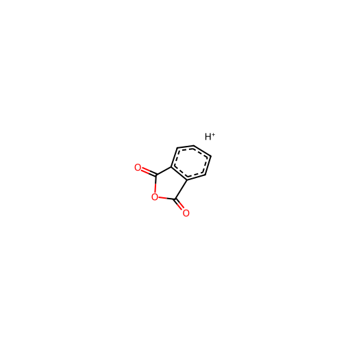 O=C1OC(=O)c2ccccc21.[H+]